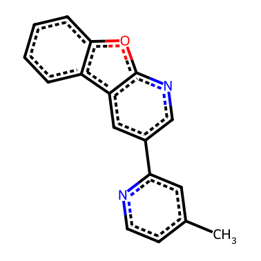 Cc1ccnc(-c2cnc3oc4ccccc4c3c2)c1